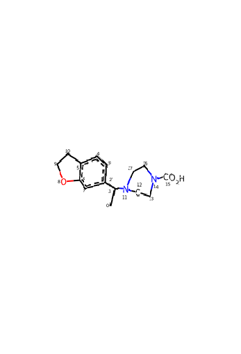 CC(c1ccc2c(c1)OCC2)N1CCN(C(=O)O)CC1